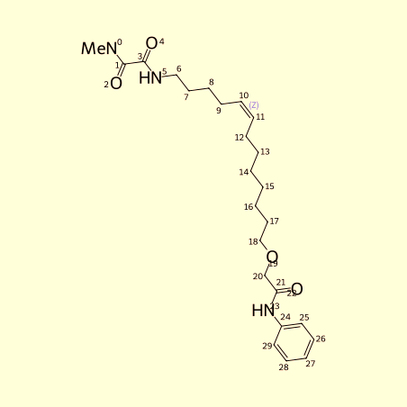 CNC(=O)C(=O)NCCCC/C=C\CCCCCCCOCC(=O)Nc1ccccc1